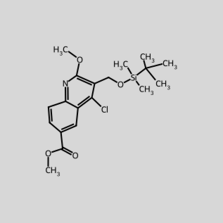 COC(=O)c1ccc2nc(OC)c(CO[Si](C)(C)C(C)(C)C)c(Cl)c2c1